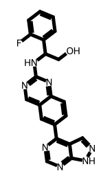 OCC(Nc1ncc2cc(-c3ncnc4[nH]ncc34)ccc2n1)c1ccccc1F